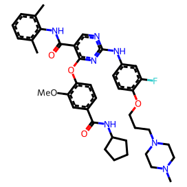 COc1cc(C(=O)NC2CCCC2)ccc1Oc1nc(Nc2ccc(OCCCN3CCN(C)CC3)c(F)c2)ncc1C(=O)Nc1c(C)cccc1C